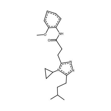 COc1ccccc1NC(=O)CCc1nnc(CCC(C)C)n1C1CC1